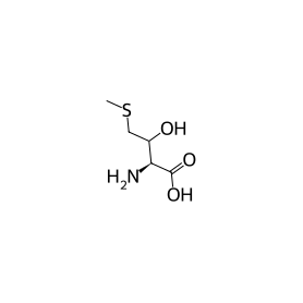 CSCC(O)[C@H](N)C(=O)O